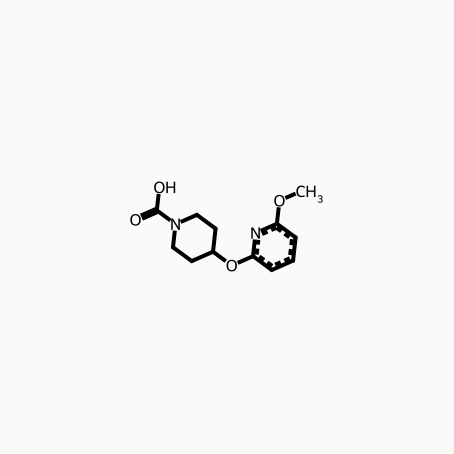 COc1cccc(OC2CCN(C(=O)O)CC2)n1